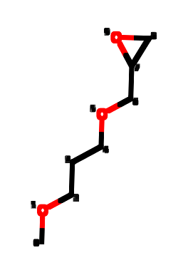 COCCCOCC1CO1